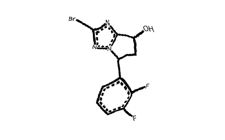 OC1CC(c2cccc(F)c2F)n2nc(Br)nc21